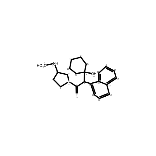 O=C(O)NC1CCN(C(=O)C(c2cccc3ccccc23)C2(O)CCCCC2)C1